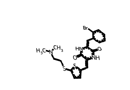 CN(C)CCSc1ccc(C=c2[nH]c(=O)c(=Cc3ccccc3Br)[nH]c2=O)s1